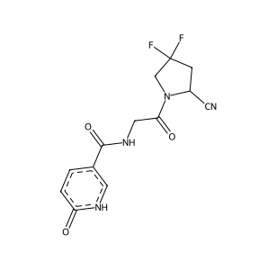 N#CC1CC(F)(F)CN1C(=O)CNC(=O)c1ccc(=O)[nH]c1